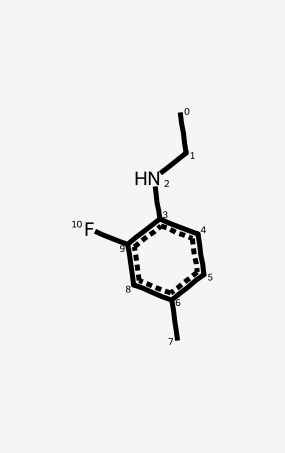 CCNc1ccc(C)cc1F